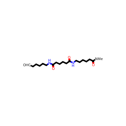 CNC(=O)CCCCCNC(=O)CCCCC(=O)NCCCCCC=O